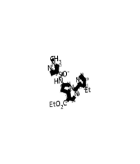 CCOC(=O)C1=C2CC(N[S+]([O-])c3cnn(C)c3)CN2C(C2=NC=CC2CC)=NC1